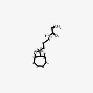 C=CC(=O)NCCCOC1C2CCCCC1OSO2